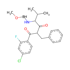 COBNC(C(=O)C(Cc1ccccc1)C(=O)c1ccc(Cl)cc1F)C(C)C